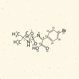 CC(C)(C)NS(=O)(=O)/N=C(\C(=O)O)c1ccc(Br)cc1